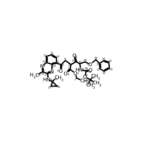 CCOC(=O)C(CC(=O)c1cccc2nc(C)c(NC3(C)CC3)nc12)C(=O)C(COCc1ccccc1)NC(=O)OC(C)(C)C